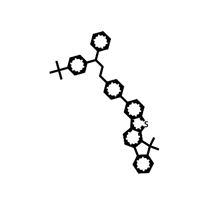 CC(C)(C)c1ccc(C(CCc2ccc(-c3ccc4sc5c6c(ccc5c4c3)-c3ccccc3C6(C)C)cc2)c2ccccc2)cc1